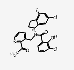 NC(=O)c1ncccc1CN(C(=O)c1cccc(Cl)c1O)[C@@H]1CCc2c(F)cc(Cl)cc21